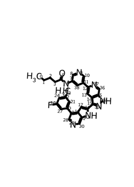 CCCCC(=O)Nc1cncc(-c2cc3c(-c4cc5c(-c6cc(C)cc(F)c6)cncc5[nH]4)n[nH]c3cn2)c1